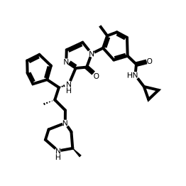 Cc1ccc(C(=O)NC2CC2)cc1-n1ccnc(N[C@@H](c2ccccc2)[C@@H](C)CN2CCN[C@H](C)C2)c1=O